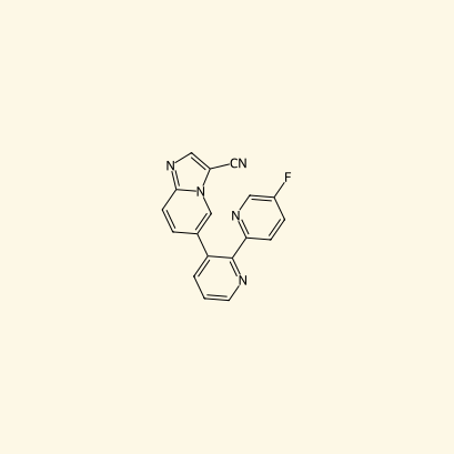 N#Cc1cnc2ccc(-c3cccnc3-c3ccc(F)cn3)cn12